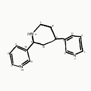 c1cncc(C2CCNC(c3cccnc3)C2)c1